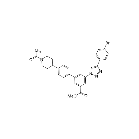 COC(=O)c1cc(-c2ccc(C3CCN(C(=O)C(F)(F)F)CC3)cc2)cc(-n2cc(-c3ccc(Br)cc3)nn2)c1